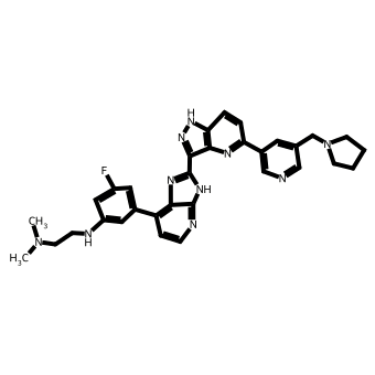 CN(C)CCNc1cc(F)cc(-c2ccnc3[nH]c(-c4n[nH]c5ccc(-c6cncc(CN7CCCC7)c6)nc45)nc23)c1